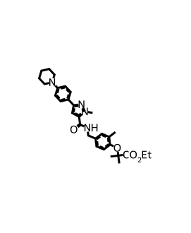 CCOC(=O)C(C)(C)Oc1ccc(CNC(=O)c2cc(-c3ccc(N4CCCCC4)cc3)nn2C)cc1C